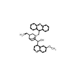 C=CC1C[N+]2(Cc3c4ccccc4nc4ccccc34)CCC1CC2C(O)c1ccnc2ccc(OC)cc12